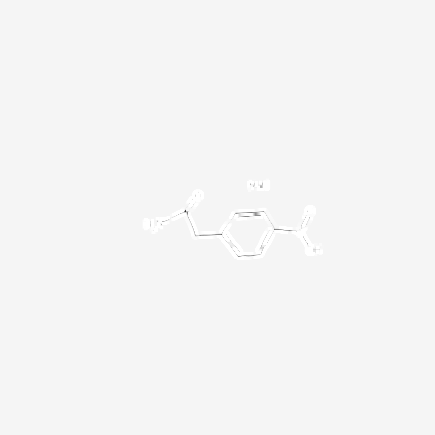 NC(=O)Cc1ccc(S(=O)O)cc1.[NaH]